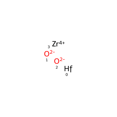 [Hf].[O-2].[O-2].[Zr+4]